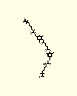 CC(=O)C(C)(C)CCCCNC(=O)OCc1cc(C)c(CC(=O)CCCC(=O)Oc2c(C)cc(COC(=O)NCCCCC(C)(C)C(C)=O)cc2C)c(C)c1